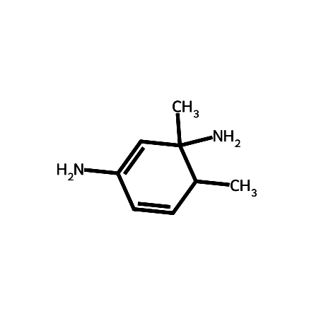 CC1C=CC(N)=CC1(C)N